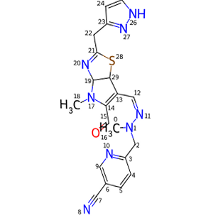 CN(Cc1ccc(C#N)cn1)/N=C\C1=C(C=O)N(C)C2N=C(Cc3cc[nH]n3)SC12